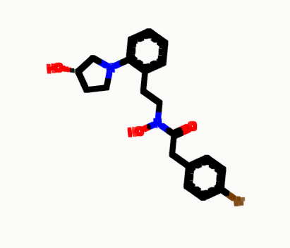 O=C(Cc1ccc(Br)cc1)N(O)CCc1ccccc1N1CC[C@H](O)C1